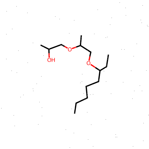 CCCCCC(CC)OCC(C)OCC(C)O